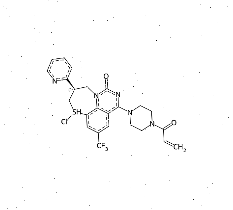 C=CC(=O)N1CCN(c2nc(=O)n3c4c(cc(C(F)(F)F)cc24)[SH](Cl)C[C@@H](c2ccccn2)C3)CC1